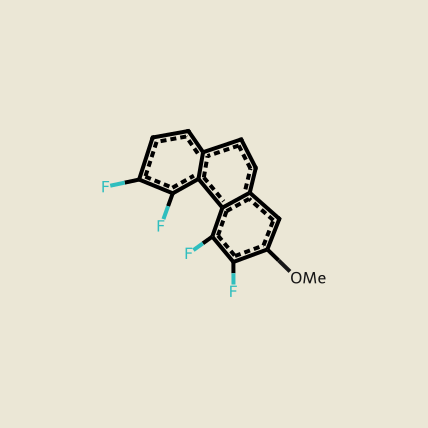 COc1cc2ccc3ccc(F)c(F)c3c2c(F)c1F